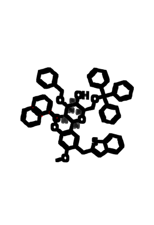 COc1cc(OCc2ccccc2)c([C@@H]2O[C@H](COC(c3ccccc3)(c3ccccc3)c3ccccc3)[C@H](O)[C@H](OCc3ccccc3)[C@H]2OCc2ccccc2)cc1Cc1cc2ccccc2s1